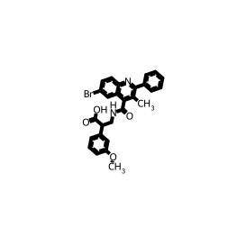 COc1cccc(C(CNC(=O)c2c(C)c(-c3ccccc3)nc3ccc(Br)cc23)C(=O)O)c1